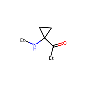 CCNC1(C(=O)CC)CC1